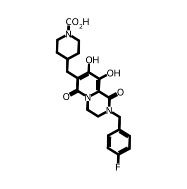 O=C(O)N1CCC(Cc2c(O)c(O)c3n(c2=O)CCN(Cc2ccc(F)cc2)C3=O)CC1